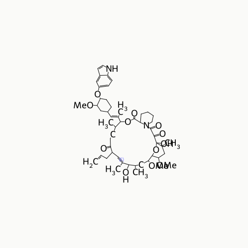 C=CCC1/C=C(\C)C(O)C(C)CC(OC)C2OC(O)(C(=O)C(=O)N3CCCCC3C(=O)OC(C(C)=CC3CCC(Oc4ccc5[nH]ccc5c4)C(OC)C3)C(C)CCC1=O)C(C)CC2OC